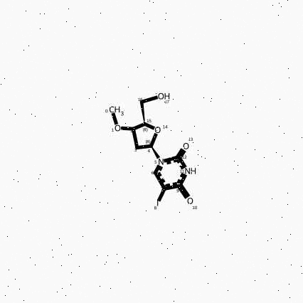 COC1C[C@H](n2cc(I)c(=O)[nH]c2=O)O[C@@H]1CO